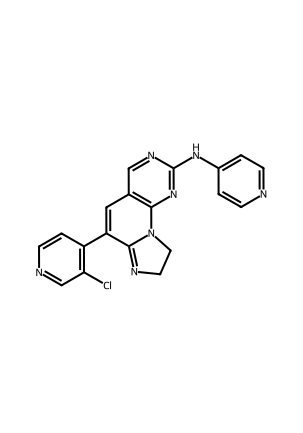 Clc1cnccc1C1=Cc2cnc(Nc3ccncc3)nc2N2CCN=C12